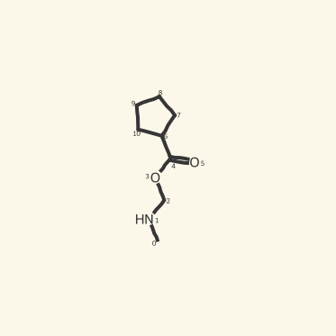 CNCOC(=O)C1CCCC1